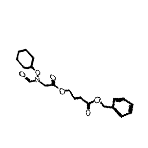 O=CN(CC(=O)OCCCC(=O)OCc1ccccc1)OC1CCCCC1